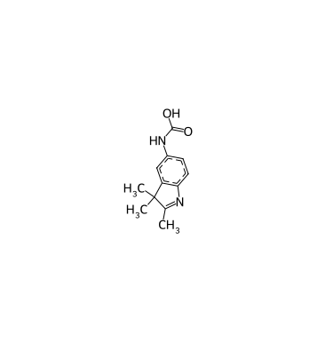 CC1=Nc2ccc(NC(=O)O)cc2C1(C)C